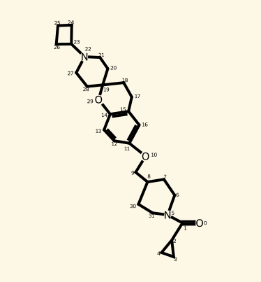 O=C(C1CC1)N1CCC(COc2ccc3c(c2)CCC2(CCN(C4CCC4)CC2)O3)CC1